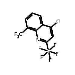 FC(F)(F)c1cccc2c(Cl)cc(S(F)(F)(F)(F)F)nc12